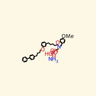 COc1ccc(CN(CCOP(=O)(O)O)C(=O)CCCCc2cccc(OCCCCc3ccc(-c4ccccc4)cc3)c2)cc1.N